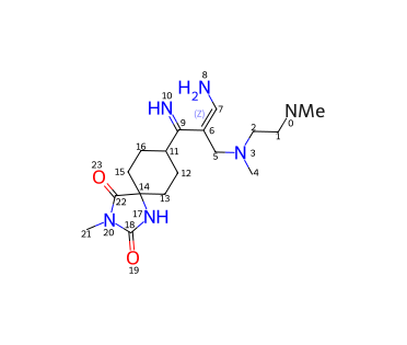 CNCCN(C)C/C(=C/N)C(=N)C1CCC2(CC1)NC(=O)N(C)C2=O